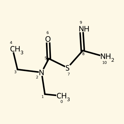 CCN(CC)C(=O)SC(=N)N